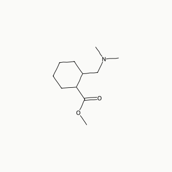 COC(=O)C1CCCCC1CN(C)C